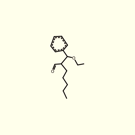 CCCCCC(C=O)C(OCC)c1ccccc1